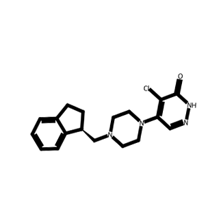 O=c1[nH]ncc(N2CCN(C[C@@H]3CCc4ccccc43)CC2)c1Cl